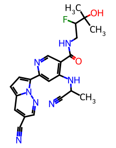 CC(C#N)Nc1cc(-c2ccc3cc(C#N)cnn23)ncc1C(=O)NCC(F)C(C)(C)O